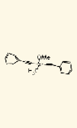 CO[Si](C)(C#Cc1ccccc1)C#Cc1ccccc1